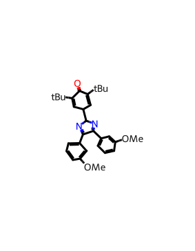 COc1cccc(C2=NC(C3C=C(C(C)(C)C)C(=O)C(C(C)(C)C)=C3)N=C2c2cccc(OC)c2)c1